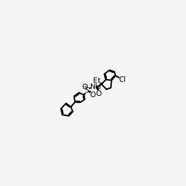 CCC1(C(=O)NS(=O)(=O)c2ccc(-c3ccccc3)cc2)CCc2c(Cl)cccc21